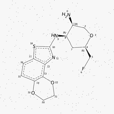 N[C@H]1CO[C@@H](CF)C[C@H]1Nc1nc2c3c(ccc2s1)OCCO3